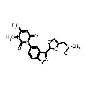 Cn1c(C(F)(F)F)cc(=O)n(-c2ccc3snc(C4OCC(C[S+](C)[O-])O4)c3c2)c1=O